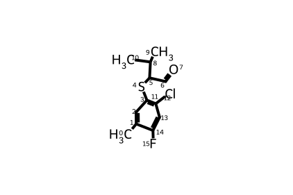 Cc1cc(SC(C=O)C(C)C)c(Cl)cc1F